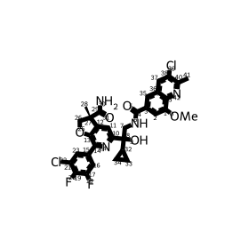 COc1cc(C(=O)NCC(O)(c2cc3c(c(-c4cc(F)c(F)c(Cl)c4)n2)OC[C@]3(C)C(N)=O)C2CC2)cc2cc(Cl)c(C)nc12